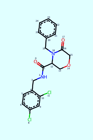 O=C(NCc1ccc(Cl)cc1Cl)C1COCC(=O)N1Cc1ccccc1